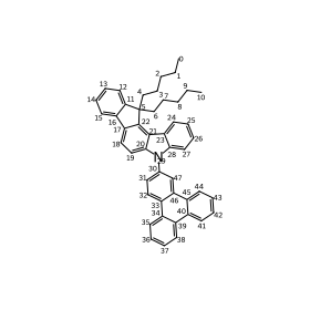 CCCCCC1(CCCCC)c2ccccc2-c2ccc3c(c21)c1ccccc1n3-c1ccc2c3ccccc3c3ccccc3c2c1